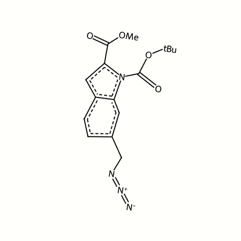 COC(=O)c1cc2ccc(CN=[N+]=[N-])cc2n1C(=O)OC(C)(C)C